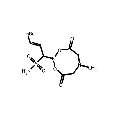 CCCCC=CC(B1OC(=O)CN(C)CC(=O)O1)S(N)(=O)=O